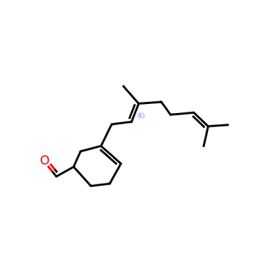 CC(C)=CCC/C(C)=C/CC1=CCCC(C=O)C1